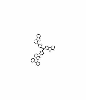 CC1(C)c2ccccc2-c2ccc(N(c3ccc(-c4cccc5c4sc4ccccc45)cc3)c3ccc4oc5c(C6(C)c7ccccc7-c7ccccc76)cccc5c4c3)cc21